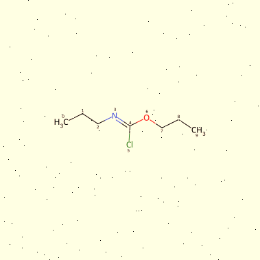 CCCN=C(Cl)OCCC